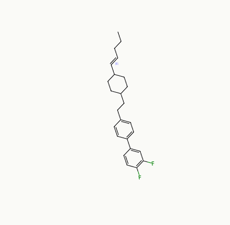 CCC/C=C/C1CCC(CCc2ccc(-c3ccc(F)c(F)c3)cc2)CC1